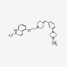 CN1CCN(c2cccc(C=C3CCN(CCOc4cccc5nc(C(F)(F)F)ccc45)CC3)c2)CC1